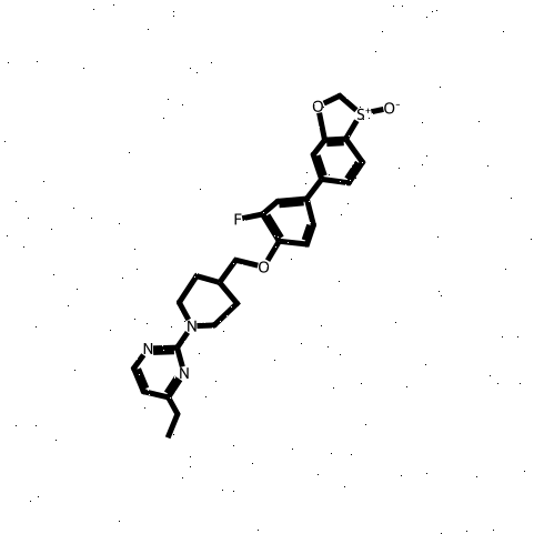 CCc1ccnc(N2CCC(COc3ccc(-c4ccc5c(c4)OC[S+]5[O-])cc3F)CC2)n1